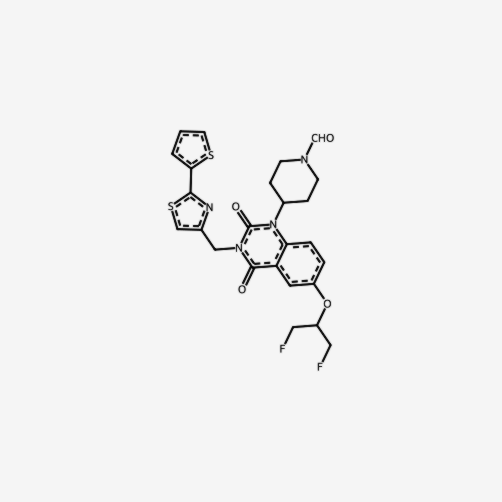 O=CN1CCC(n2c(=O)n(Cc3csc(-c4cccs4)n3)c(=O)c3cc(OC(CF)CF)ccc32)CC1